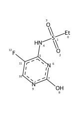 CCS(=O)(=O)Nc1nc(O)ncc1F